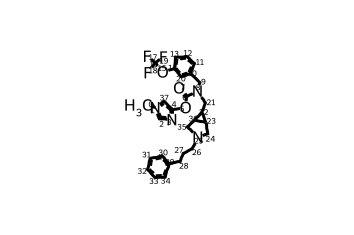 Cn1cnc(OC(=O)N(Cc2cccc(OC(F)(F)F)c2)CC2C3CN(CCCc4ccccc4)CC32)c1